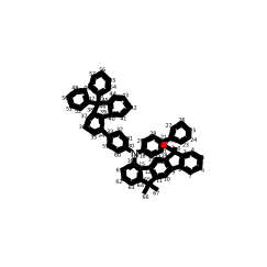 CC1(C)c2ccccc2-c2cc3c(cc21)-c1c(N(c2ccc(-c4ccccc4)cc2)c2ccc(-c4cccc5c4-c4ccccc4C5(c4ccccc4)c4ccccc4)cc2)cccc1C3(C)C